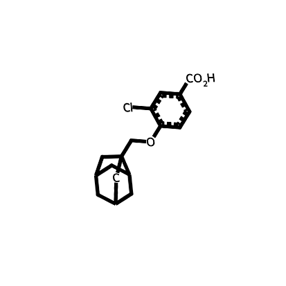 O=C(O)c1ccc(OCC23CC4CC(CC2C4)C3)c(Cl)c1